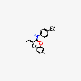 CC=C(CC)/C(=N/c1ccc(CC)cc1)Oc1cccc(C)c1